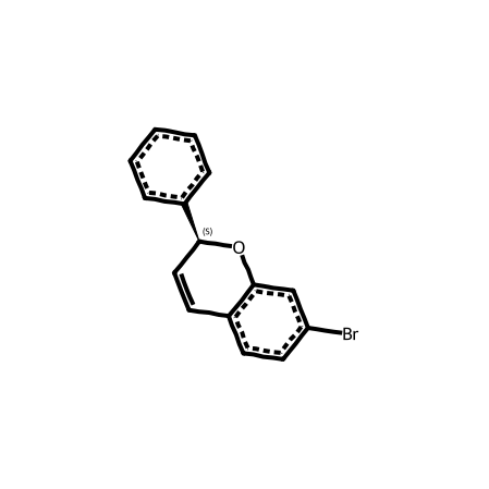 Brc1ccc2c(c1)O[C@H](c1ccccc1)C=C2